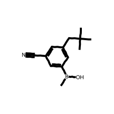 CB(O)c1cc(C#N)cc(CC(C)(C)C)c1